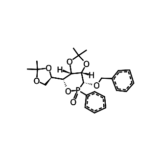 CC1(C)O[C@H]2[C@@H]([C@H]3COC(C)(C)O3)OP(=O)(c3ccccc3)[C@@H](OCc3ccccc3)[C@H]2O1